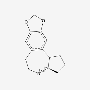 c1c2c(cc3c1OCO3)C1CCC[C@@]13CCCN3CC2